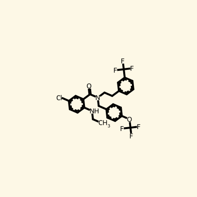 CCNc1ccc(Cl)cc1C(=O)N(CCc1cccc(C(F)(F)F)c1)Cc1ccc(OC(F)(F)F)cc1